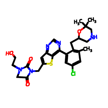 Cc1cc(Cl)cc(-c2ncnc3cc(CN4C(=O)CN(CCO)C4=O)sc23)c1CC1CNCC(C)(C)O1